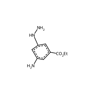 CCOC(=O)c1cc(N)cc(NN)c1